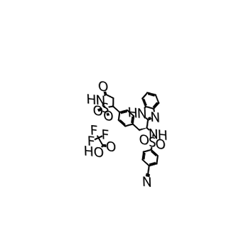 N#Cc1ccc(S(=O)(=O)N[C@@H](Cc2ccc(C3CC(=O)NS3(=O)=O)cc2)c2nc3ccccc3[nH]2)cc1.O=C(O)C(F)(F)F